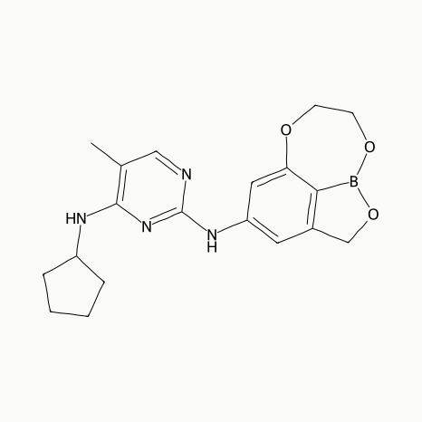 Cc1cnc(Nc2cc3c4c(c2)OCCOB4OC3)nc1NC1CCCC1